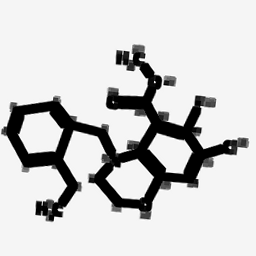 CCc1ccccc1CN1CCOc2cc(Cl)c(F)c(C(=O)OC)c21